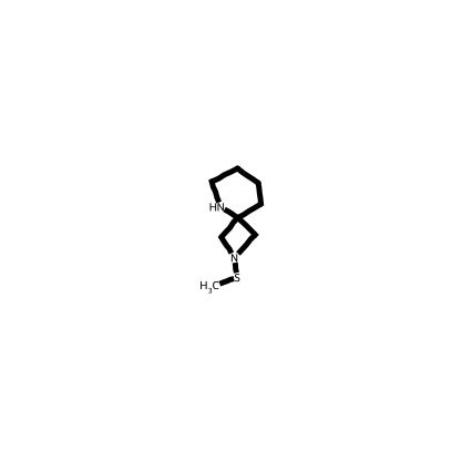 CSN1CC2(CCCCN2)C1